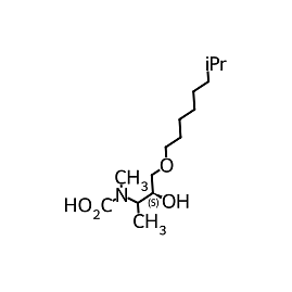 CC(C)CCCCCCOC[C@@H](O)C(C)N(C)C(=O)O